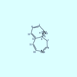 C1=CC2=NC=CC23CC=NC=CC3=C1